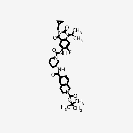 CC(C)n1c(=O)n(CC2CC2)c(=O)c2cc(NC(=O)N3CCC[C@@H](NC(=O)c4ccc5c(c4)CCN(C(=O)OC(C)(C)C)C5)C3)c(F)cc21